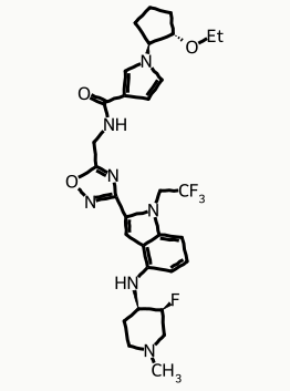 CCO[C@H]1CCC[C@@H]1n1ccc(C(=O)NCc2nc(-c3cc4c(N[C@@H]5CCN(C)C[C@@H]5F)cccc4n3CC(F)(F)F)no2)c1